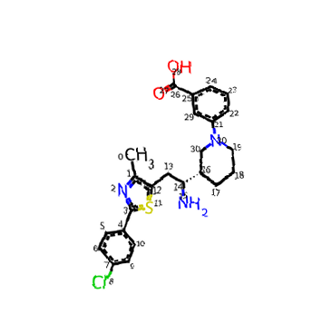 Cc1nc(-c2ccc(Cl)cc2)sc1CC(N)[C@H]1CCCN(c2cccc(C(=O)O)c2)C1